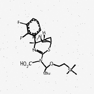 CC(C)(C)C(OCC[Si](C)(C)C)N(C(=O)O)C1=N[C@](C)(c2cccc(F)c2F)[C@@H]2C[C@]2(CN)S1